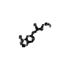 CCOC(=O)/C=C/c1ccc(C=O)c([N+](=O)[O-])c1